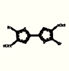 CCCCCCCCc1cc(-c2cc(CCCCCCCC)c(Br)s2)sc1Br